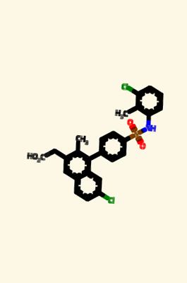 Cc1c(Cl)cccc1NS(=O)(=O)c1ccc(-c2c(C)c(CC(=O)O)cc3ccc(Cl)cc23)cc1